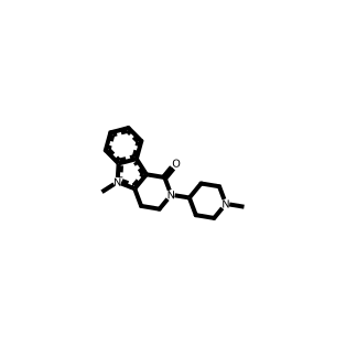 CN1CCC(N2CCc3c(c4ccccc4n3C)C2=O)CC1